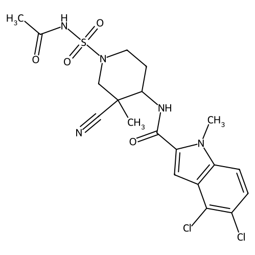 CC(=O)NS(=O)(=O)N1CCC(NC(=O)c2cc3c(Cl)c(Cl)ccc3n2C)C(C)(C#N)C1